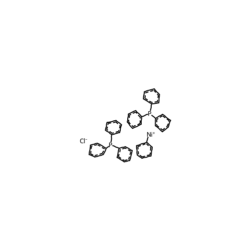 [Cl-].[Ni+][c]1ccccc1.c1ccc(P(c2ccccc2)c2ccccc2)cc1.c1ccc(P(c2ccccc2)c2ccccc2)cc1